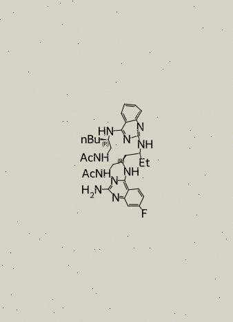 CCCC[C@H](CNC(C)=O)Nc1nc(NC(CC)C[C@H](CNC(C)=O)Nc2nc(N)nc3cc(F)ccc23)nc2ccccc12